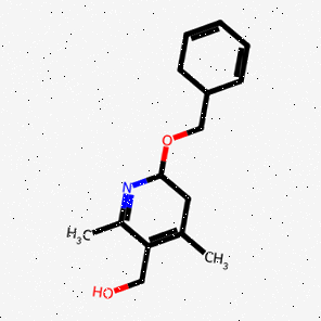 CC1=NC(OCC2C=CC=CC2)CC(C)=C1CO